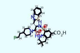 CC1(C)CNc2c(cc(C(=O)O)cc2S(=O)(=O)N[C@@H](Cc2nc3ccccc3s2)C(=O)N2CCC(CCF)CC2)C1